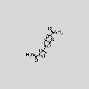 NC(=O)C1OCC(C2CC3OC(C(N)=O)OC3O2)O1